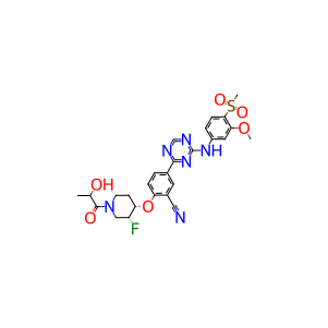 COc1cc(Nc2ncnc(-c3ccc(O[C@H]4CCN(C(=O)C(C)O)C[C@H]4F)c(C#N)c3)n2)ccc1S(C)(=O)=O